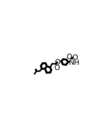 C=C(C)Cc1cccc2c(CC(=O)Oc3ccc4[nH]c(=O)oc4c3)cccc12